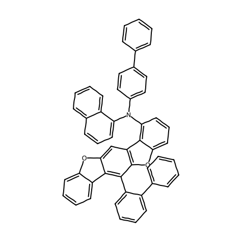 c1ccc(-c2ccc(N(c3cccc4ccccc34)c3cccc4oc5c(-c6ccccc6-c6ccccc6)c6c(cc5c34)oc3ccccc36)cc2)cc1